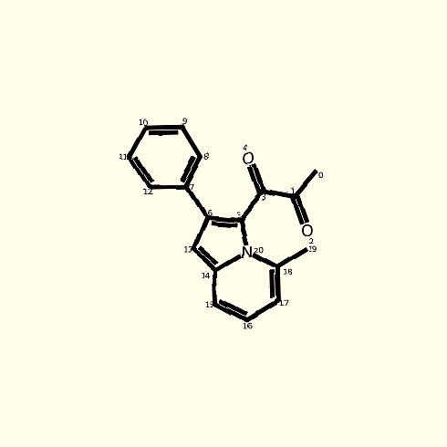 CC(=O)C(=O)c1c(-c2ccccc2)cc2cccc(C)n12